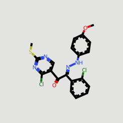 COc1ccc(N/N=C(/C(=O)c2cnc(SC)nc2Cl)c2ccccc2Cl)cc1